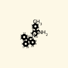 Cc1ccc(C2(CN)CCN(CCC(c3ccccc3)(c3ccccc3)c3ccccc3)CC2)cc1